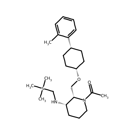 CC(=O)N1CCC[C@H](NCS(C)(C)C)[C@@H]1CO[C@H]1CC[C@@H](c2ccccc2C)CC1